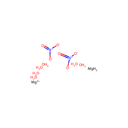 O.O.O.O.O.O.O=[N+]([O-])[O-].O=[N+]([O-])[O-].[Mg+2].[MgH2]